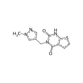 Cn1cc(Cn2c(=O)[nH]c3sccc3c2=O)cn1